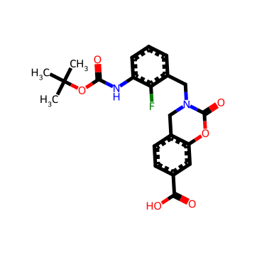 CC(C)(C)OC(=O)Nc1cccc(CN2Cc3ccc(C(=O)O)cc3OC2=O)c1F